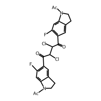 CC(=O)N1CCc2cc(C(=O)C(Cl)C(Cl)C(=O)c3cc4c(cc3F)N(C(C)=O)CC4)c(F)cc21